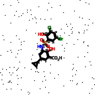 O=C(O)c1cc(C2CC2)cc(NS(=O)(=O)c2cc(Br)cc(Cl)c2O)c1O